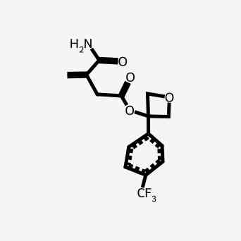 C=C(CC(=O)OC1(c2ccc(C(F)(F)F)cc2)COC1)C(N)=O